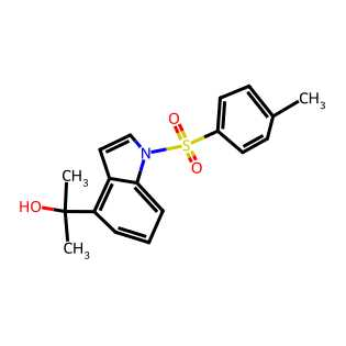 Cc1ccc(S(=O)(=O)n2ccc3c(C(C)(C)O)cccc32)cc1